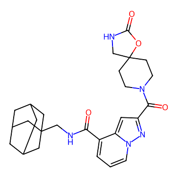 O=C1NCC2(CCN(C(=O)c3cc4c(C(=O)NCC56CC7CC(CC(C7)C5)C6)cccn4n3)CC2)O1